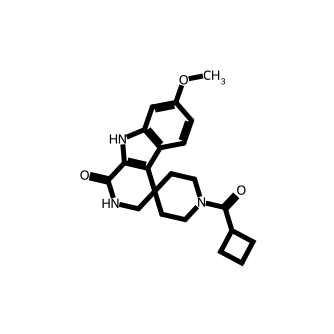 COc1ccc2c3c([nH]c2c1)C(=O)NCC31CCN(C(=O)C2CCC2)CC1